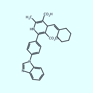 CCOC(=O)C1=C(c2ccc(-n3cnc4ccccc43)cc2)NC(C)=C(C(=O)O)C1C=C1CCCCC1